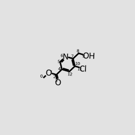 COC(=O)c1cnc(CO)c(Cl)c1